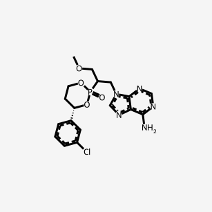 COCC(Cn1cnc2c(N)ncnc21)P1(=O)OCC[C@@H](c2cccc(Cl)c2)O1